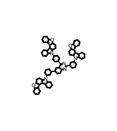 c1cc(-c2ccc3nc(-c4cccc(-n5c6ccccc6c6c7c(ccc65)oc5ccccc57)c4)nc(-c4ccc(-n5c6ccccc6c6c7c(ccc65)oc5ccccc57)cc4)c3c2)cc(-n2c3ccccc3c3c4c(ccc32)oc2ccccc24)c1